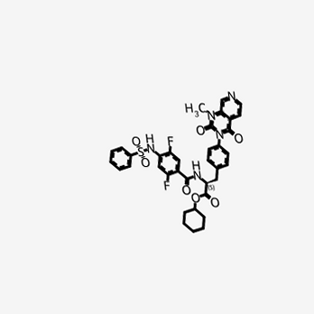 Cn1c(=O)n(-c2ccc(C[C@H](NC(=O)c3cc(F)c(NS(=O)(=O)c4ccccc4)cc3F)C(=O)OC3CCCCC3)cc2)c(=O)c2ccncc21